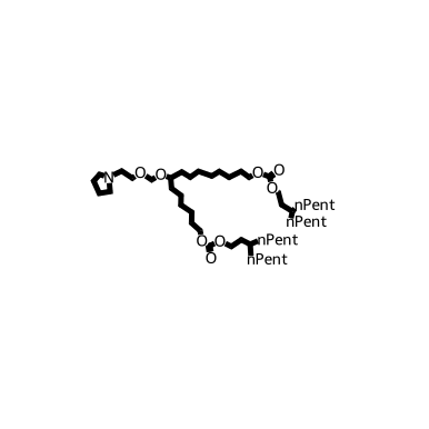 CCCCCC(CCCCC)CCOC(=O)OCCCCCCCCC(CCCCCCOC(=O)OCCC(CCCCC)CCCCC)OCOCCN1CCCC1